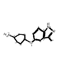 Cc1n[nH]c2ccc(OC3CCC(N)CC3)cc12